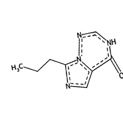 CCCc1ncc2c(=O)[nH]cnn12